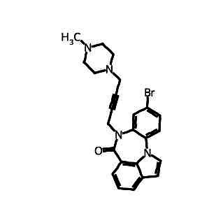 CN1CCN(CC#CCN2C(=O)c3cccc4ccn(c34)-c3ccc(Br)cc32)CC1